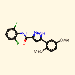 COc1ccc(OC)c(-c2cc(C(=O)Nc3c(F)cccc3F)n[nH]2)c1